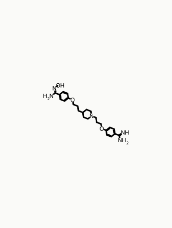 N=C(N)c1ccc(OCCCN2CCC(CCCOc3ccc(/C(N)=N\O)cc3)CC2)cc1